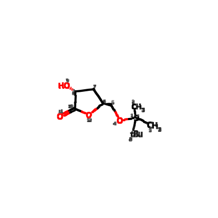 CC(C)(C)[Si](C)(C)OC[C@@H]1C[C@@H](O)C(=O)O1